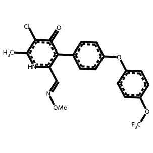 CON=Cc1[nH]c(C)c(Cl)c(=O)c1-c1ccc(Oc2ccc(OC(F)(F)F)cc2)cc1